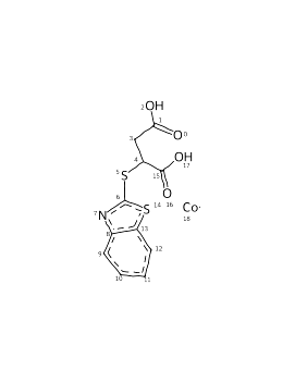 O=C(O)CC(Sc1nc2ccccc2s1)C(=O)O.[Co]